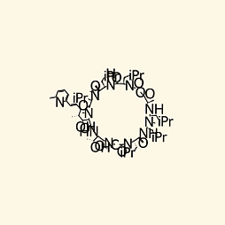 Cc1cccc(/C=C/C[C@@H](C)[C@@H](O)C2C(=O)NC([C@@H](C)O)C(=O)N(C)CC(=O)N(C)[C@@H](CC(C)C)C(=O)N[C@H](CC(C)C)N(C)[C@H](CC(C)C)N[C@H](C)C(=O)OC(=O)N(C)[C@H](CC(C)C)C(=O)N[C@H](CC(C)C)C(=O)N(C)C(C(C)C)C(=O)N2C)n1